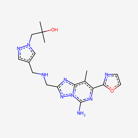 Cc1c(-c2ncco2)nc(N)n2nc(CNCc3cnn(CC(C)(C)O)c3)nc12